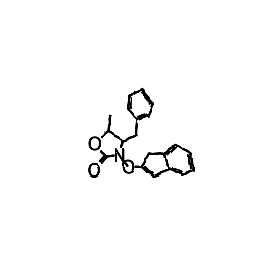 CC1OC(=O)N(OC2=Cc3ccccc3C2)C1Cc1ccccc1